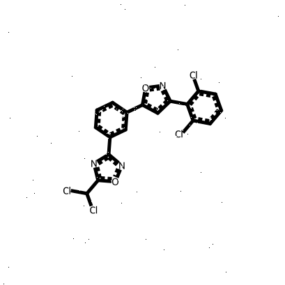 Clc1cccc(Cl)c1-c1cc(-c2cccc(-c3noc(C(Cl)Cl)n3)c2)on1